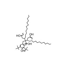 CCCCCCCCCCCCC(CC(O)=S)C(Cc1cc(C(C)(C)C)c(O)c(C(C)(C)C)c1)(C(=O)O)C(CCCCCCCCCCCC)CC(O)=S